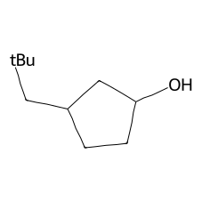 CC(C)(C)CC1CCC(O)C1